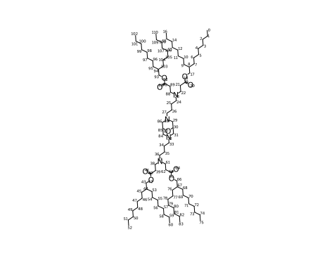 CCCCCCCCC(CCCCCCCC)COC(=O)CCN(CCCCN1CC2CN(CCCCN(CCC(=O)OCC(CCCCCCCC)CCCCCCCC)CCC(=O)OCC(CCCCCCCC)CCCCCCCC)CC(C1)O2)CCC(=O)OCC(CCCCCCCC)CCCCCCCC